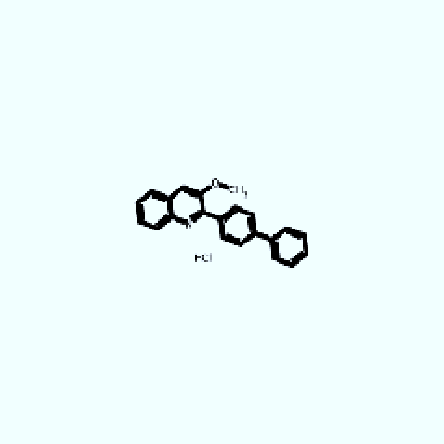 COc1cc2ccccc2nc1-c1ccc(-c2ccccc2)cc1.Cl